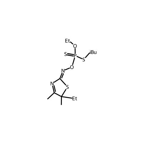 CCOP(=S)(ON=C1N=C(C)C(C)(CC)S1)SC(C)CC